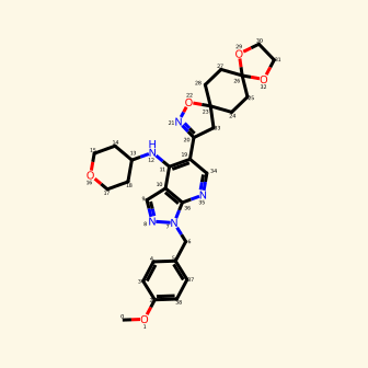 COc1ccc(Cn2ncc3c(NC4CCOCC4)c(C4=NOC5(CCC6(CC5)OCCO6)C4)cnc32)cc1